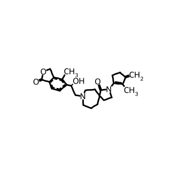 C=C1CCC(N2CCC3(CCCN(C[C@H](O)c4ccc5c(c4C)COC5=O)CC3)C2=O)=C1C